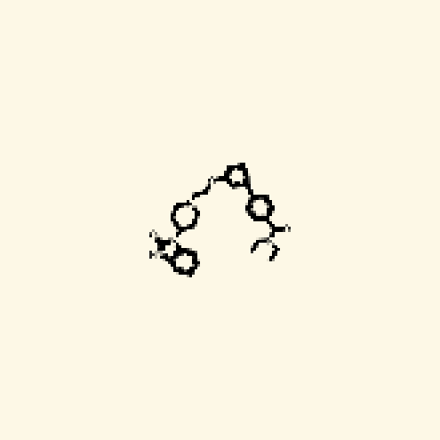 CCN(CC)C(=O)c1ccc(-c2cccc(OCCN3CCC(n4c(=O)[nH]c5ccccc54)CC3)c2)cc1